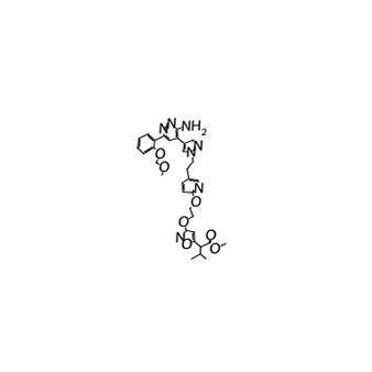 COCOc1ccccc1-c1cc(-c2cnn(CCc3ccc(OCCOc4cc(C(C(=O)OC)C(C)C)on4)nc3)c2)c(N)nn1